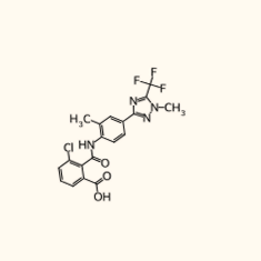 Cc1cc(-c2nc(C(F)(F)F)n(C)n2)ccc1NC(=O)c1c(Cl)cccc1C(=O)O